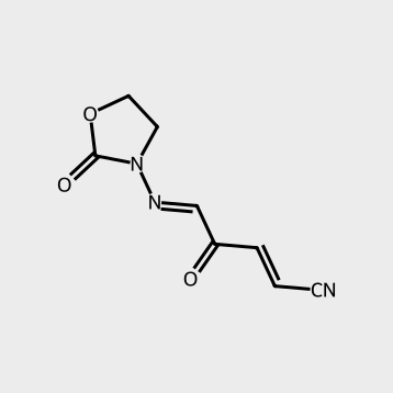 N#CC=CC(=O)C=NN1CCOC1=O